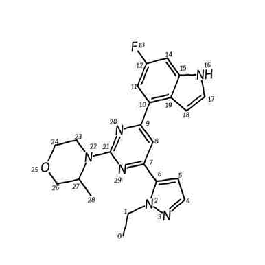 CCn1nccc1-c1cc(-c2cc(F)cc3[nH]ccc23)nc(N2CCOCC2C)n1